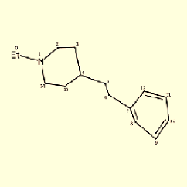 CCN1CCC(CCc2ccccc2)CC1